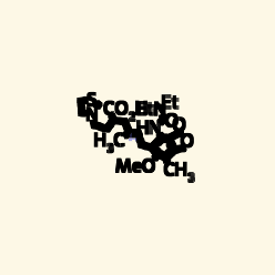 CCN(CC)C(=O)Nc1c(C/C=C(\C)CC(CCN2CCSC2)C(=O)O)c(OC)c(C)c2c1C(=O)OC2